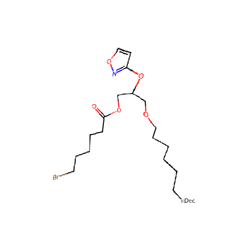 CCCCCCCCCCCCCCCCOCC(COC(=O)CCCCCBr)Oc1ccon1